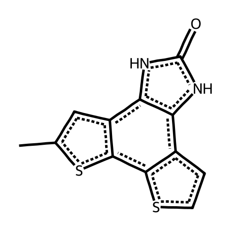 Cc1cc2c3[nH]c(=O)[nH]c3c3ccsc3c2s1